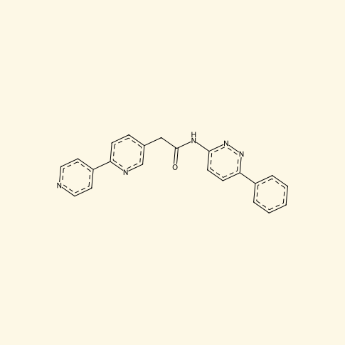 O=C(Cc1ccc(-c2ccncc2)nc1)Nc1ccc(-c2ccccc2)nn1